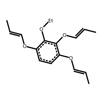 CC=COc1ccc(OC=CC)c(OCC)c1OC=CC